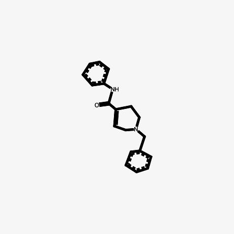 O=C(Nc1ccccc1)C1=CCN(Cc2ccccc2)CC1